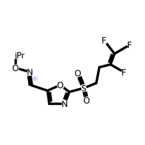 CC(C)O/N=C/c1cnc(S(=O)(=O)CCC(F)=C(F)F)o1